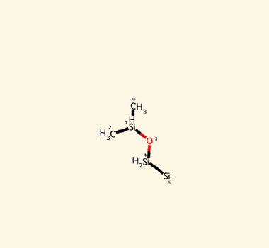 C[SiH](C)O[SiH2][Si]